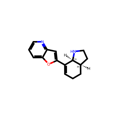 C1=C(c2cc3ncccc3o2)[C@H]2NCC[C@H]2CC1